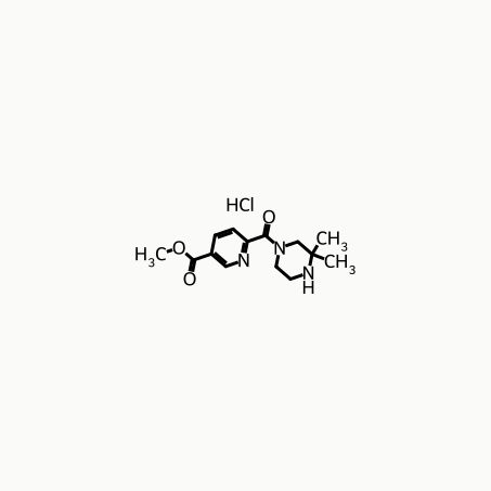 COC(=O)c1ccc(C(=O)N2CCNC(C)(C)C2)nc1.Cl